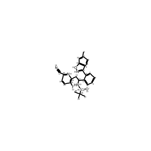 Cc1ccc2c(-c3ccccc3C(Cc3nc(C#N)ccc3F)N[S@@+]([O-])C(C)(C)C)noc2c1